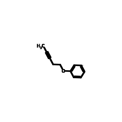 CC#CCCOc1c[c]ccc1